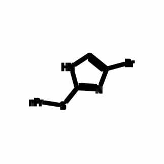 CCCSc1nc(Br)c[nH]1